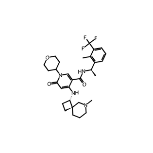 Cc1c([C@@H](C)NC(=O)c2cn(C3CCOCC3)c(=O)cc2N[C@H]2CC[C@@]23CCCN(C)C3)cccc1C(F)(F)F